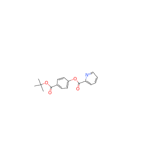 CC(C)(C)OC(=O)c1ccc(OC(=O)c2ccccn2)cc1